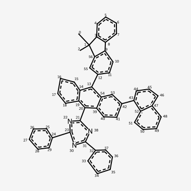 CC1(C)c2ccccc2-c2ccc(-c3c4ccccc4c(-c4nc(-c5ccccc5)nc(-c5ccccc5)n4)c4ccc(-c5cccc6ccccc56)cc34)cc21